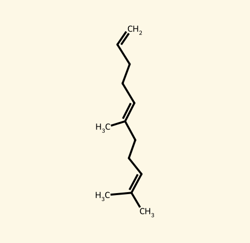 C=CCC/C=C(\C)CCC=C(C)C